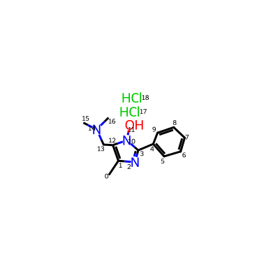 Cc1nc(-c2ccccc2)n(O)c1CN(C)C.Cl.Cl